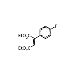 CCOC(=O)C=C(C(=O)OCC)c1ccc(F)cc1